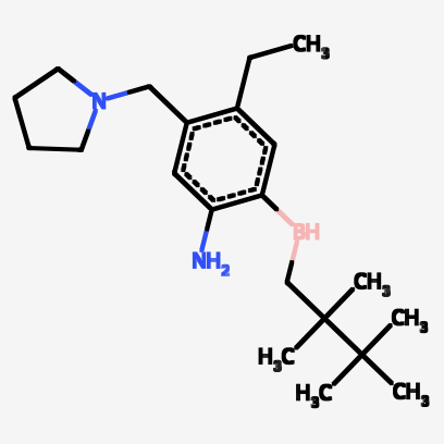 CCc1cc(BCC(C)(C)C(C)(C)C)c(N)cc1CN1CCCC1